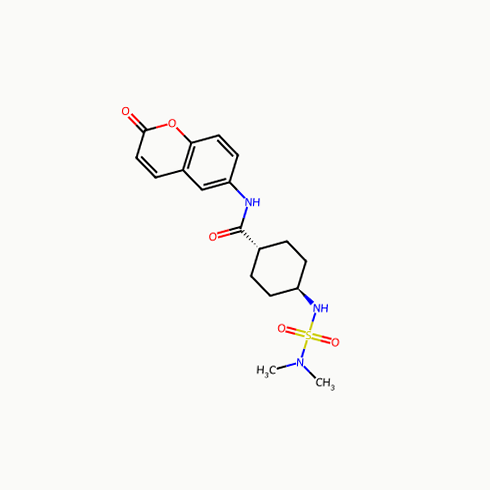 CN(C)S(=O)(=O)N[C@H]1CC[C@H](C(=O)Nc2ccc3oc(=O)ccc3c2)CC1